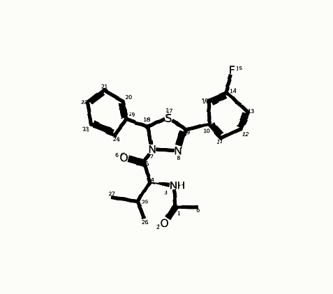 CC(=O)N[C@H](C(=O)N1N=C(c2cccc(F)c2)SC1c1ccccc1)C(C)C